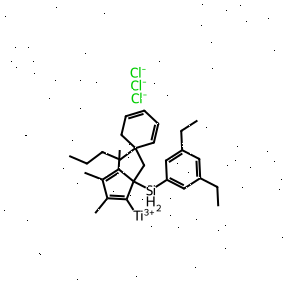 CCCCC1(CC2([SiH2]c3cc(CC)cc(CC)c3)C(C)=C(C)C(C)=[C]2[Ti+3])C=CC=CC1.[Cl-].[Cl-].[Cl-]